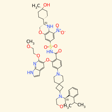 COCCOc1nc2[nH]ccc2cc1Oc1cc(N2CCC3(CC2)CC(N2CCOC[C@@H]2c2ccccc2C(C)C)C3)ccc1C(=O)NS(=O)(=O)c1cc2c(c([N+](=O)[O-])c1)N[C@@H]([C@H]1CC[C@](C)(O)CC1)CO2